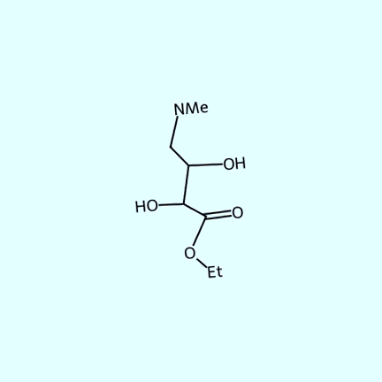 CCOC(=O)C(O)C(O)CNC